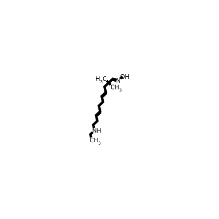 CCNCC/C=C/CC/C=C/CC(C)(C)/C=N/O